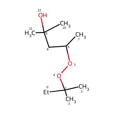 CCC(C)(C)OOC(C)CC(C)(C)O